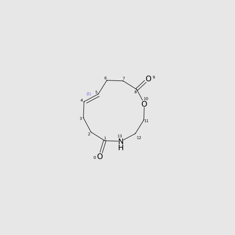 O=C1CC/C=C/CCC(=O)OCCN1